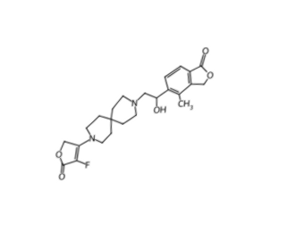 Cc1c(C(O)CN2CCC3(CC2)CCN(C2=C(F)C(=O)OC2)CC3)ccc2c1COC2=O